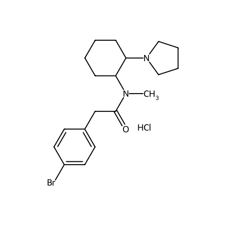 CN(C(=O)Cc1ccc(Br)cc1)C1CCCCC1N1CCCC1.Cl